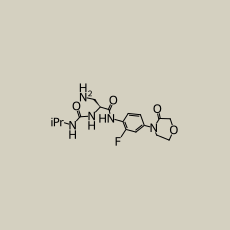 CC(C)NC(=O)N[C@@H](CN)C(=O)Nc1ccc(N2CCOCC2=O)cc1F